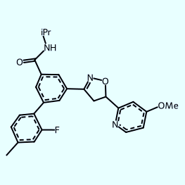 COc1ccnc(C2CC(c3cc(C(=O)NC(C)C)cc(-c4ccc(C)cc4F)c3)=NO2)c1